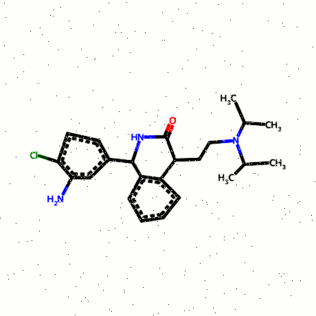 CC(C)N(CCC1C(=O)NC(c2ccc(Cl)c(N)c2)c2ccccc21)C(C)C